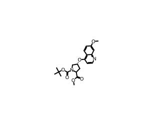 COC(=O)C1C[C@@H](Oc2ccnc3cc(OC)ccc23)CN1C(=O)OC(C)(C)C